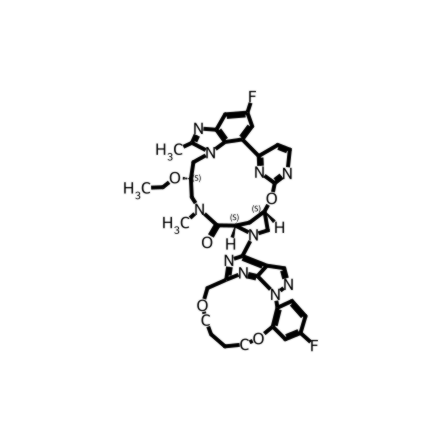 CCO[C@H]1CN(C)C(=O)[C@@H]2C[C@@H](CN2c2nc3nc4c2cnn4-c2ccc(F)cc2OCCCCOC3)Oc2nccc(n2)-c2cc(F)cc3nc(C)n(c23)C1